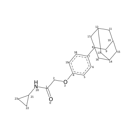 O=C(COc1ccc(C23CC4CC(CC(C4)C2)C3)cc1)NC1CC1